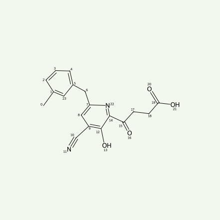 Cc1cccc(Cc2cc(C#N)c(O)c(C(=O)CCC(=O)O)n2)c1